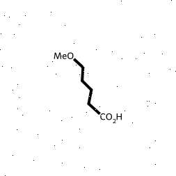 [CH2]OCCCCC(=O)O